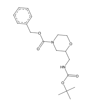 CC(C)(C)OC(=O)NCC1CN(C(=O)OCc2ccccc2)CCO1